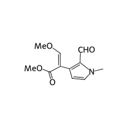 COC=C(C(=O)OC)c1ccn(C)c1C=O